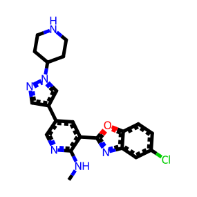 CNc1ncc(-c2cnn(C3CCNCC3)c2)cc1-c1nc2cc(Cl)ccc2o1